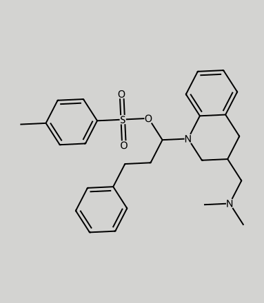 Cc1ccc(S(=O)(=O)OC(CCc2ccccc2)N2CC(CN(C)C)Cc3ccccc32)cc1